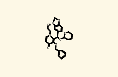 O=c1ccn(CCO)c(C(OC2CCCCO2)c2ccc3c(c2)OCO3)c1OCc1ccccc1